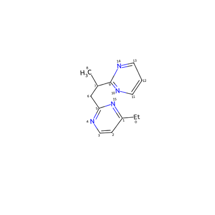 CCc1ccnc(CC(C)c2ncccn2)n1